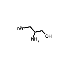 CCCC[C@H](N)CO